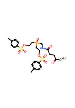 COC(=O)CCC(=O)NCP(=O)(CCOS(=O)(=O)c1ccc(C)cc1)CCOS(=O)(=O)c1ccc(C)cc1